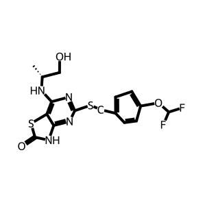 C[C@H](CO)Nc1nc(SCc2ccc(OC(F)F)cc2)nc2[nH]c(=O)sc12